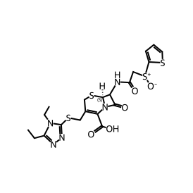 CCc1nnc(SCC2=C(C(=O)O)N3C(=O)C(NC(=O)C[S+]([O-])c4cccs4)[C@@H]3SC2)n1CC